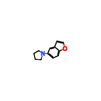 c1cc2cc(N3CCCC3)ccc2o1